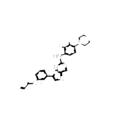 C=CC(=O)Nc1cccc(-c2cnc3cnc(Nc4ccc(N5CCOCC5)c(F)c4F)nn23)c1